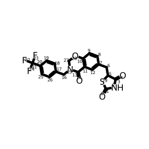 O=C1NC(=O)C(Cc2ccc3c(c2)C(=O)N(Cc2ccc(C(F)(F)F)cc2)CO3)S1